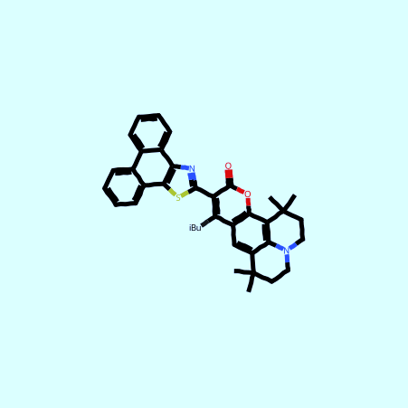 CCC(C)c1c(-c2nc3c4ccccc4c4ccccc4c3s2)c(=O)oc2c3c4c(cc12)C(C)(C)CCN4CCC3(C)C